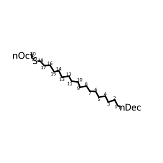 CCCCCCCCCCCCCCCCCCCCCCCCCCCCSCCCCCCCC